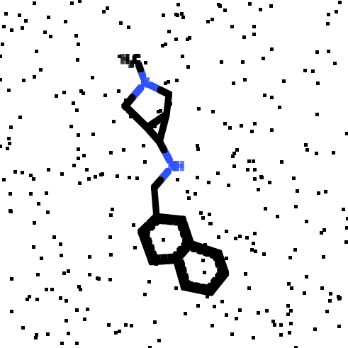 CN1CC2C(C1)C2NCc1ccc2ccccc2c1